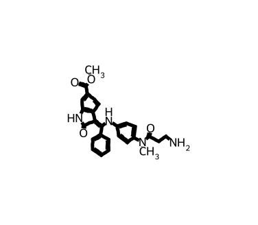 COC(=O)c1ccc2c(c1)NC(=O)C2=C(Nc1ccc(N(C)C(=O)CCN)cc1)c1ccccc1